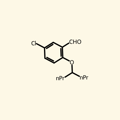 CCCC(CCC)Oc1ccc(Cl)cc1C=O